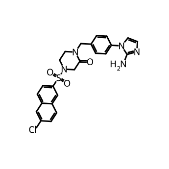 Nc1nccn1-c1ccc(CN2CCN(S(=O)(=O)c3ccc4cc(Cl)ccc4c3)CC2=O)cc1